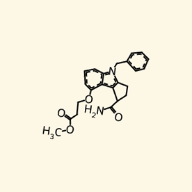 COC(=O)CCOc1cccc2c1c1c(n2Cc2ccccc2)CCC1C(N)=O